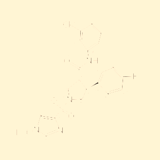 Cn1cnc(S(=O)(=O)N2C[C@H](C(=O)Nc3cccc(Cl)c3)[C@@H](c3ccc(F)cc3)C2)c1